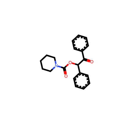 O=C(c1ccccc1)C(OC(=O)N1CCCCC1)c1ccccc1